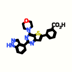 O=C(O)c1cccc(-c2cc3nc(-c4cccc5[nH]ncc45)nc(N4CCOCC4)c3s2)c1